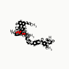 COCOc1cc(-c2ncc3c(N4CC5CCC(C4)N5C(=O)OC(C)(C)C)nc(OC[C@@H](CN4CCN(CC5CCC6(CC5)CCN(C(=O)c5ccc(OC)c(N7CCC(=O)NC7=O)c5)CC6)CC4)OC)nc3c2F)c2c(C#C[Si](C(C)C)(C(C)C)C(C)C)c(F)ccc2c1